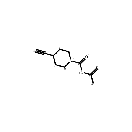 C#CC1CCN(C(=O)OC(=C)C)CC1